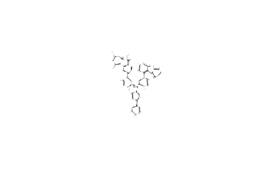 Cc1cc(C)c2c(c1)C(C)(C)c1ccc(-c3cccc(N(c4ccc(-c5ccccc5)cc4)c4cccc(-c5cccc6oc7ccccc7c56)c4)c3)cc1-2